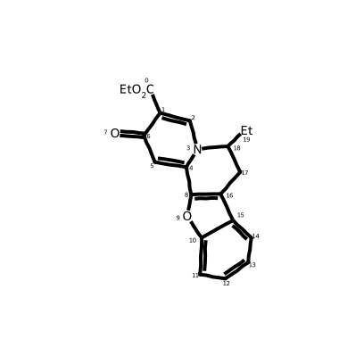 CCOC(=O)c1cn2c(cc1=O)-c1oc3ccccc3c1CC2CC